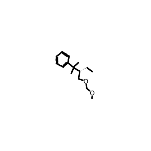 CC[C@H](COCOC)C(C)(C)c1ccccc1